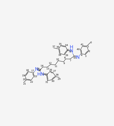 Cc1ccc(/N=C(/CCCCCCCC/C(=N/c2ccc(C)cc2)Nc2ccc(C)cc2)Nc2ccc(C)cc2)cc1